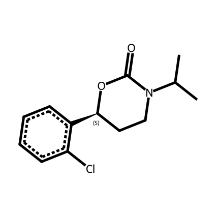 CC(C)N1CC[C@@H](c2ccccc2Cl)OC1=O